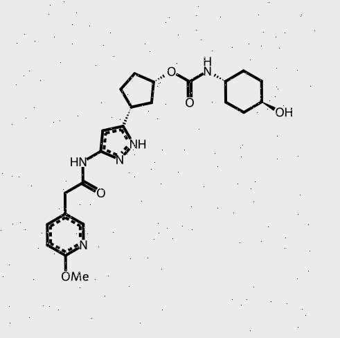 COc1ccc(CC(=O)Nc2cc([C@@H]3CC[C@H](OC(=O)N[C@H]4CC[C@H](O)CC4)C3)[nH]n2)cn1